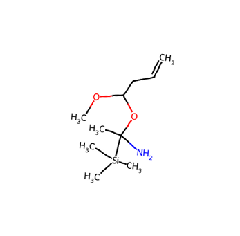 C=CCC(OC)OC(C)(N)[Si](C)(C)C